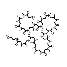 CNCC(=O)N(C)CC(=O)N(C)CC(=O)N(C)CC(=O)N(C)CC(=O)N(C)CC(=O)N(C)CC(=O)N(C)CC(=O)N(C)CC(=O)N(C)CC(=O)N(C)CC(=O)N(C)CC(=O)N(C)CC(=O)N(C)CC(=O)N(C)CC(=O)N(C)CC(=O)N(C)CC(=O)N(C)CC(=O)N(C)CC(=O)N(C)CC(=O)NCCOC